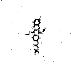 CCOC(=O)CN(Cc1cc(F)ccc1Cl)/C(=N\C#N)N1CCC[C@@H](NC(=O)OC(C)(C)C)C1